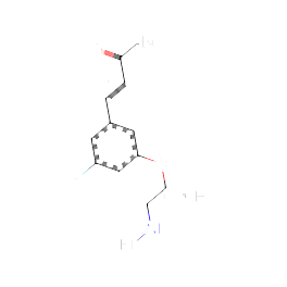 CCNC[C@@H](C)Oc1cc(F)cc(/C=C/C(=O)C(C)CC)c1